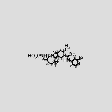 C[C@@H]1Cc2nn3c(c2CN1C(=O)Nc1ccnc(Br)c1F)C(F)(F)CCC(CNC(=O)O)C3